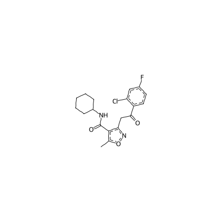 Cc1onc(CC(=O)c2ccc(F)cc2Cl)c1C(=O)NC1CCCCC1